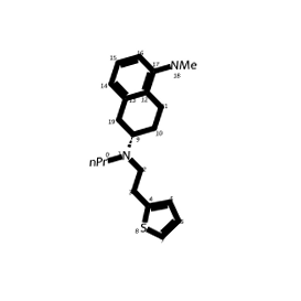 CCCN(CCc1cccs1)[C@H]1CCc2c(cccc2NC)C1